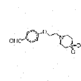 O=Cc1ccc(OCCN2CCS(=O)(=O)CC2)cc1